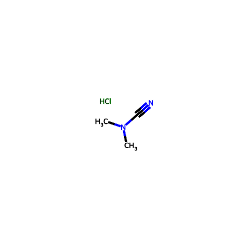 CN(C)C#N.Cl